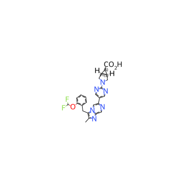 Cc1nc2cnc(-c3cnc(N4C[C@@H]5[C@H](C4)[C@@H]5C(=O)O)nc3)cn2c1Cc1ccccc1OC(F)F